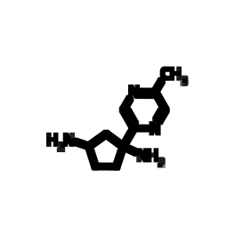 Cc1cnc(C2(N)CCC(N)C2)cn1